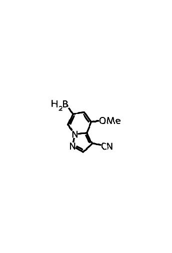 Bc1cc(OC)c2c(C#N)cnn2c1